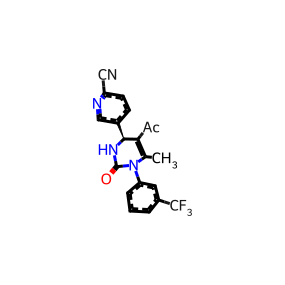 CC(=O)C1=C(C)N(c2cccc(C(F)(F)F)c2)C(=O)N[C@H]1c1ccc(C#N)nc1